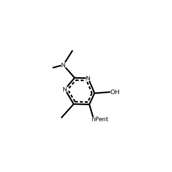 CCCCCc1c(C)nc(N(C)C)nc1O